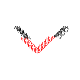 O.O.O.O.O.O.O.O.O.O.O.O.O.O.O.O.O.O.O.O.[AlH3].[AlH3].[AlH3].[AlH3].[AlH3].[AlH3].[AlH3].[AlH3].[AlH3].[AlH3].[AlH3].[AlH3].[AlH3].[AlH3].[AlH3]